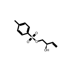 C=C[C@@H](O)COS(=O)(=O)c1ccc(C)cc1